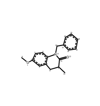 COc1ccc2c(c1)CC(C)C(=O)N2Cc1ccccc1